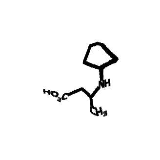 CC(CC(=O)O)NC1CCCC1